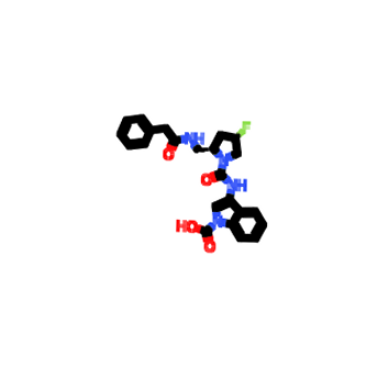 O=C(Cc1ccccc1)NC[C@@H]1C[C@@H](F)CN1C(=O)Nc1cn(C(=O)O)c2ccccc12